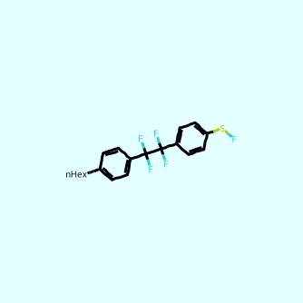 CCCCCCc1ccc(C(F)(F)C(F)(F)c2ccc(SF)cc2)cc1